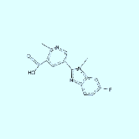 Cc1ncc(-c2nc3ccc(F)cc3n2C)cc1C(=O)O